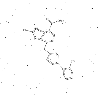 COC(=O)c1ccc(Cc2ccc(-c3ccccc3C#N)cc2)c2nc(Cl)[nH]c12